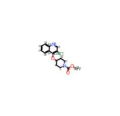 CC(C)OC(=O)N1CCC(Oc2c(Cl)cnc3ccccc23)CC1